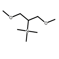 COCC(COC)[Si](C)(C)C